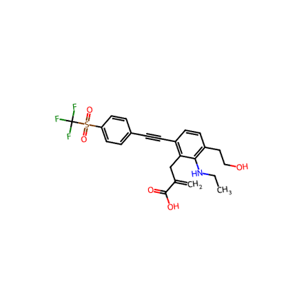 C=C(Cc1c(C#Cc2ccc(S(=O)(=O)C(F)(F)F)cc2)ccc(CCO)c1NCC)C(=O)O